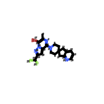 Cc1nc(N2CCC3(CC2)Cc2cccnc2C3)c2cc(C(F)F)nn2c1Br